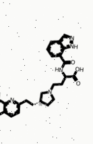 O=C(NC(CCN1CC[C@H](CCc2ccc3c(n2)NCCC3)C1)C(=O)O)c1cccc2cn[nH]c12